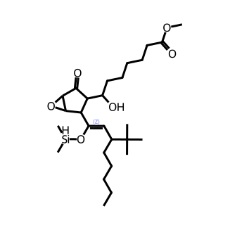 CCCCCC(/C=C(\O[SiH](C)C)C1C2OC2C(=O)C1C(O)CCCCCC(=O)OC)C(C)(C)C